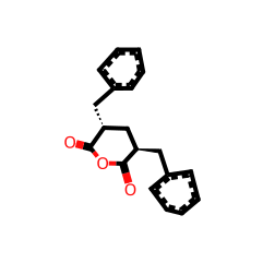 O=C1OC(=O)[C@H](Cc2ccccc2)C[C@H]1Cc1ccccc1